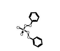 O=P(Cl)(OOc1ccccc1)OOc1ccccc1